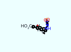 C=C(C)[C@@H]1CC[C@]2(NCCN3CC4(C3)CN(S(C)(=O)=O)C4)CC[C@]3(C)[C@H](CC[C@@H]4[C@@]5(C)CC=C(c6ccc(C(=O)O)cc6)C(C)(C)[C@@H]5CC[C@]43C)[C@@H]12